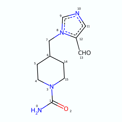 NC(=O)N1CCC(Cn2cncc2C=O)CC1